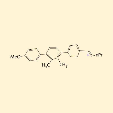 CCC/C=C/c1ccc(-c2ccc(-c3ccc(OC)cc3)c(C)c2C)cc1